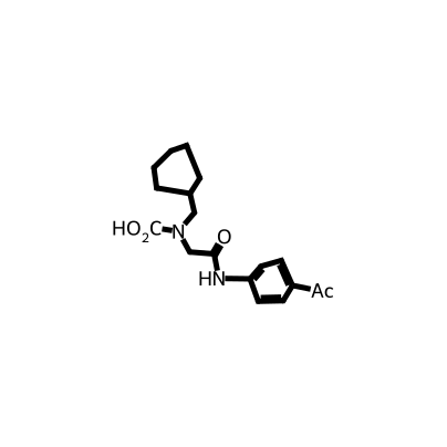 CC(=O)c1ccc(NC(=O)CN(CC2CCCCC2)C(=O)O)cc1